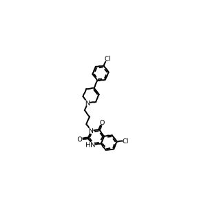 O=c1[nH]c2ccc(Cl)cc2c(=O)n1CCCN1CC=C(c2ccc(Cl)cc2)CC1